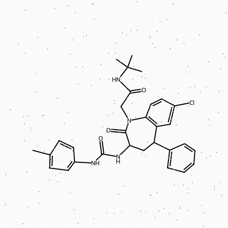 Cc1ccc(NC(=O)NC2CC(c3ccccc3)c3cc(Cl)ccc3N(CC(=O)NC(C)(C)C)C2=O)cc1